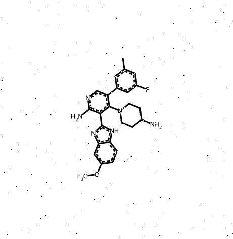 Cc1cc(F)cc(-c2cnc(N)c(-c3nc4cc(OC(F)(F)F)ccc4[nH]3)c2N2CCC(N)CC2)c1